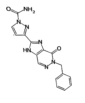 NC(=O)n1c[c]c(-c2nc3c(=O)n(Cc4ccccc4)ncc3[nH]2)n1